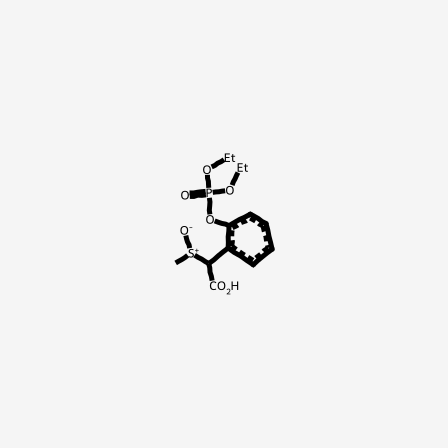 CCOP(=O)(OCC)Oc1ccccc1C(C(=O)O)[S+](C)[O-]